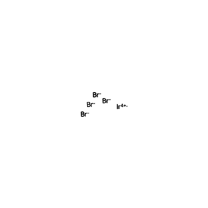 [Br-].[Br-].[Br-].[Br-].[Ir+4]